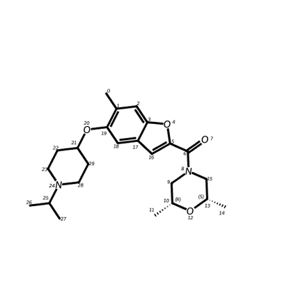 Cc1cc2oc(C(=O)N3C[C@@H](C)O[C@@H](C)C3)cc2cc1OC1CCN(C(C)C)CC1